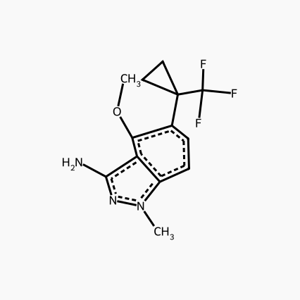 COc1c(C2(C(F)(F)F)CC2)ccc2c1c(N)nn2C